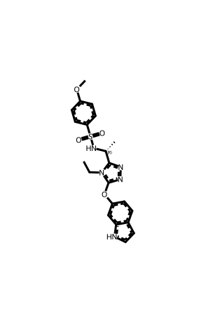 CCn1c(Oc2ccc3cc[nH]c3c2)nnc1[C@@H](C)NS(=O)(=O)c1ccc(OC)cc1